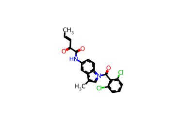 C/C=C/C(=O)C(=O)Nc1ccc2c(c1)c(C)cn2C(=O)c1c(Cl)cccc1Cl